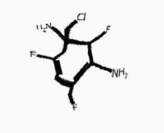 NC1=C(F)C=C(F)C(N)(Cl)C1F